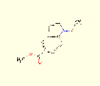 CCn1ccc2cc(C(=O)OC)ccc21